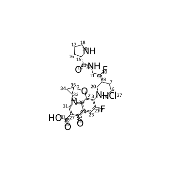 COc1c(N2CCC/C(=C(\F)CNC(=O)[C@@H]3CCCN3)C2)c(F)cc2c(=O)c(C(=O)O)cn(C3CC3)c12.Cl